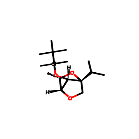 CC(C)[C@]12CO[C@H]([C@H](C)O1)[C@H]2O[Si](C)(C)C(C)(C)C